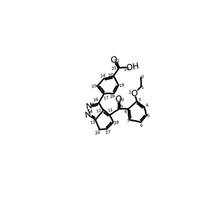 CCOc1ccccc1C(=O)C1=C2C(=NN=C2c2ccc(C(=O)O)cc2)CC=C1